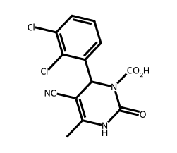 CC1=C(C#N)C(c2cccc(Cl)c2Cl)N(C(=O)O)C(=O)N1